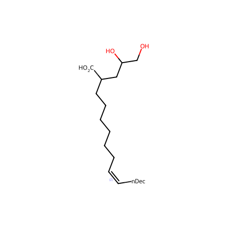 CCCCCCCCCC/C=C\CCCCCCC(CC(O)CO)C(=O)O